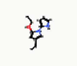 CCOc1cc(CC)cn1C1=CC=C[N]1